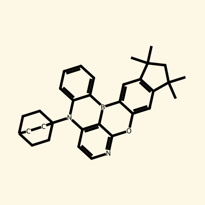 CC1(C)CC(C)(C)c2cc3c(cc21)Oc1nccc2c1B3c1ccccc1N2C12CCC(CC1)CC2